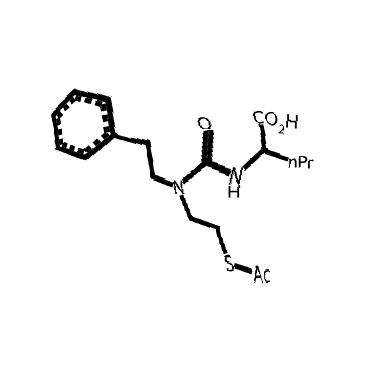 CCCC(NC(=O)N(CCSC(C)=O)CCc1ccccc1)C(=O)O